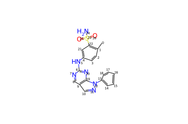 Cc1ccc(Nc2ncc3cnn(-c4ccccc4)c3n2)cc1S(N)(=O)=O